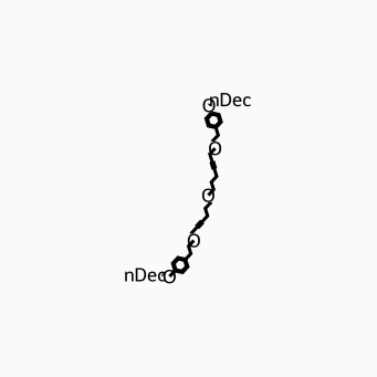 CCCCCCCCCCOc1ccc(CCOCC#CCCCOCCCC#CCOCCc2ccc(OCCCCCCCCCC)cc2)cc1